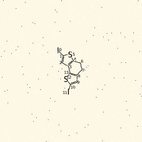 Ic1cc2c(s1)CCc1cc(I)sc1-2